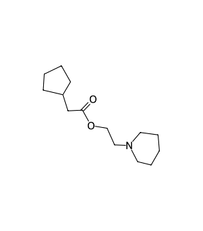 O=C(CC1CCCC1)OCCN1CCCCC1